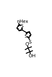 CCCCCCc1ccc(-c2ccc(SOC(C)(C)C(C)(C)O)s2)s1